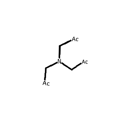 CC(=O)CN(CC(C)=O)CC(C)=O